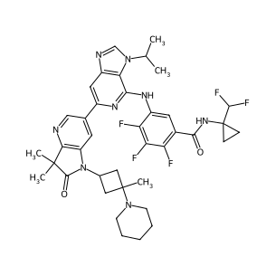 CC(C)n1cnc2cc(-c3cnc4c(c3)N(C3CC(C)(N5CCCCC5)C3)C(=O)C4(C)C)nc(Nc3cc(C(=O)NC4(C(F)F)CC4)c(F)c(F)c3F)c21